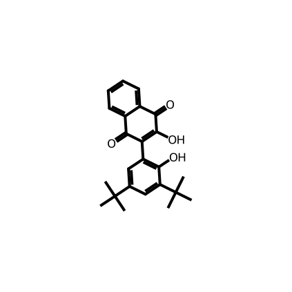 CC(C)(C)c1cc(C2=C(O)C(=O)c3ccccc3C2=O)c(O)c(C(C)(C)C)c1